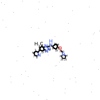 Cc1cc(-c2ccccn2)cc2nnc(Nc3ccc(OCCN4CCCC4)cc3)nc12